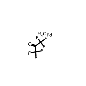 C.O=C(C(F)(F)F)C(F)(F)F.[Pd]